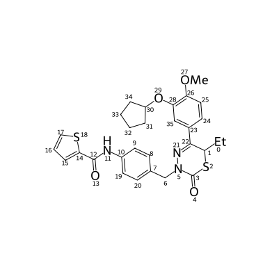 CCC1SC(=O)N(Cc2ccc(NC(=O)c3cccs3)cc2)N=C1c1ccc(OC)c(OC2CCCC2)c1